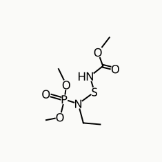 CCN(SNC(=O)OC)P(=O)(OC)OC